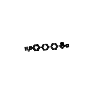 Cc1ccc(C2CCC([C@H]3CC[C@@H](C4CC(=O)O4)CC3)CC2)cc1